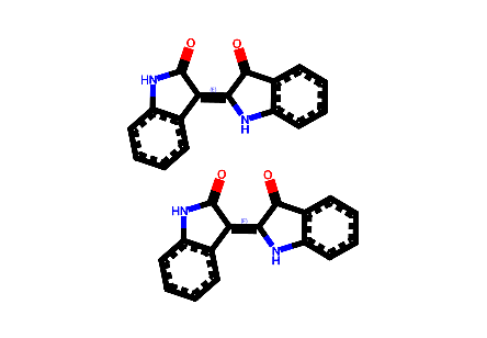 O=C1Nc2ccccc2/C1=C1\Nc2ccccc2C1=O.O=C1Nc2ccccc2/C1=C1\Nc2ccccc2C1=O